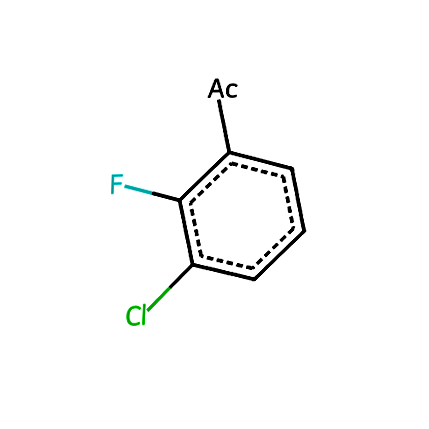 CC(=O)c1cccc(Cl)c1F